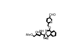 COC/C(O)=C/C(=N)c1nnc2c3ccccc3c(OCC3=NCC(C=O)C=C3)nn12